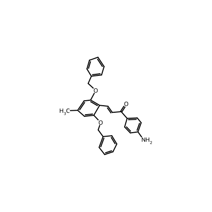 Cc1cc(OCc2ccccc2)c(C=CC(=O)c2ccc(N)cc2)c(OCc2ccccc2)c1